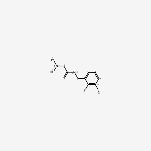 CC(C)N(O)CC(=O)NCc1cccc(Cl)c1F